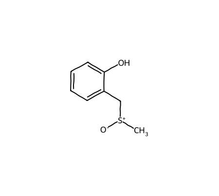 C[S+]([O-])Cc1ccccc1O